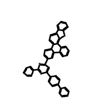 c1ccc(-c2ccc(-c3cc(-c4ccc5c(c4)c4ccccc4c4c5ccc5c6ccccc6sc54)nc(-c4ccccc4)n3)cc2)cc1